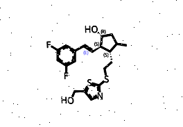 CC1C[C@@H](O)[C@H](/C=C/c2cc(F)cc(F)c2)[C@H]1CCSc1ncc(CO)s1